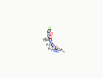 CCCCC1CN(C2CCC(F)(F)CC2)C(=O)OC12CCN(C1(C)CCN(C(=O)c3c(C)ncnc3C)CC1)CC2